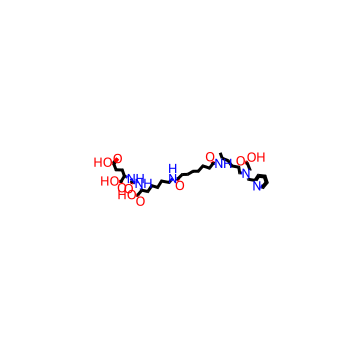 CC(CCCCN(CC(=O)O)Cc1ccccn1)NC(=O)CCCCCCC(=O)NCCCCCC(NC(=O)NC(CCC(=O)O)C(=O)O)C(=O)O